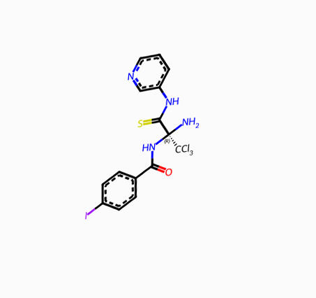 N[C@@](NC(=O)c1ccc(I)cc1)(C(=S)Nc1cccnc1)C(Cl)(Cl)Cl